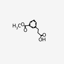 COC(=O)c1cccc(CCC(=O)O)c1